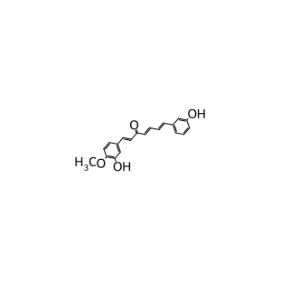 COc1ccc(C=CC(=O)C=CC=Cc2cccc(O)c2)cc1O